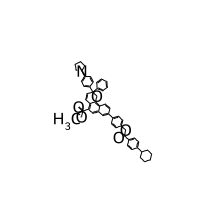 COC(=O)c1cc2cc(-c3ccc(OC(=O)c4ccc(C5CCCCC5)cc4)cc3)ccc2c2c1C=CC(c1ccccc1)(c1ccc(N3CCCC3)cc1)O2